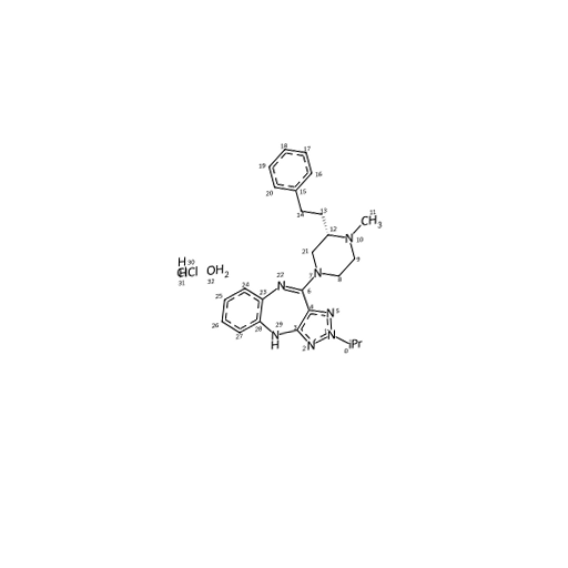 CC(C)n1nc2c(n1)C(N1CCN(C)[C@@H](CCc3ccccc3)C1)=Nc1ccccc1N2.Cl.Cl.O